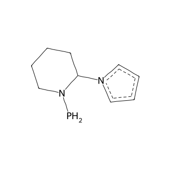 PN1CCCCC1n1cccc1